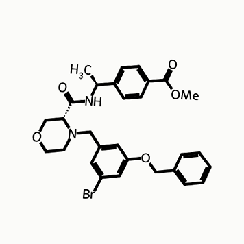 COC(=O)c1ccc([C@H](C)NC(=O)[C@H]2COCCN2Cc2cc(Br)cc(OCc3ccccc3)c2)cc1